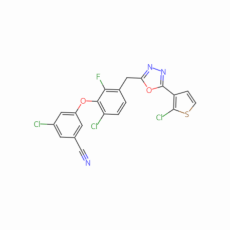 N#Cc1cc(Cl)cc(Oc2c(Cl)ccc(Cc3nnc(-c4ccsc4Cl)o3)c2F)c1